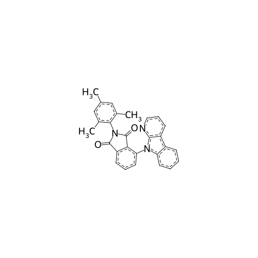 Cc1cc(C)c(N2C(=O)c3cccc(-n4c5ccccc5c5cccnc54)c3C2=O)c(C)c1